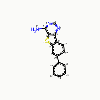 Nc1ncnc2c1sc1cc(-c3ccccc3)ccc12